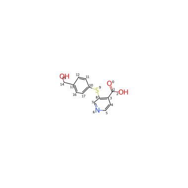 O=C(O)c1ccncc1Sc1ccc(CO)cc1